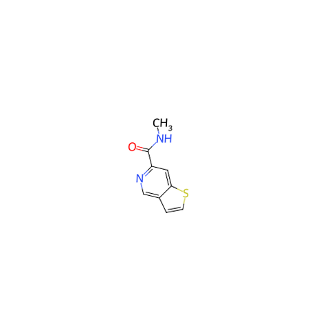 CNC(=O)c1cc2sccc2cn1